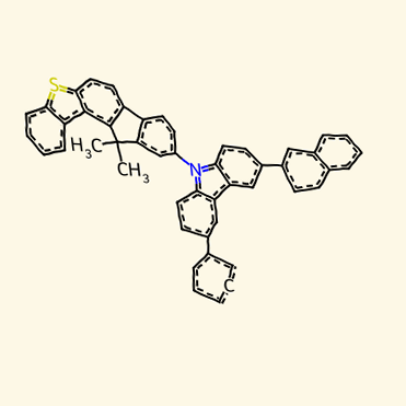 CC1(C)c2cc(-n3c4ccc(-c5ccccc5)cc4c4cc(-c5ccc6ccccc6c5)ccc43)ccc2-c2ccc3sc4ccccc4c3c21